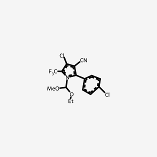 CCOC(OC)n1c(-c2ccc(Cl)cc2)c(C#N)c(Cl)c1C(F)(F)F